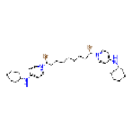 BrC(CCCCCCCC(Br)[n+]1ccc(NC2CCCCC2)cc1)[n+]1ccc(NC2CCCCC2)cc1